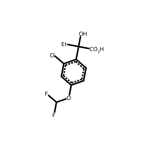 CCC(O)(C(=O)O)c1ccc(OC(F)F)cc1Cl